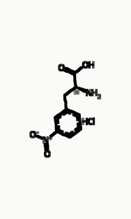 Cl.N[C@@H](Cc1cccc([N+](=O)[O-])c1)C(=O)O